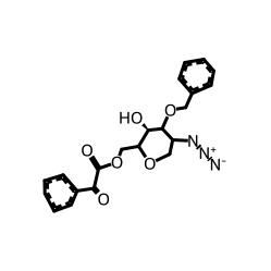 [N-]=[N+]=NC1COC(COC(=O)C(=O)c2ccccc2)[C@@H](O)C1OCc1ccccc1